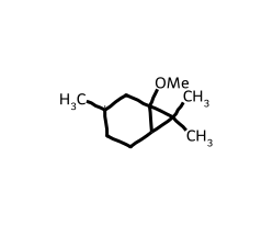 COC12C[C](C)CCC1C2(C)C